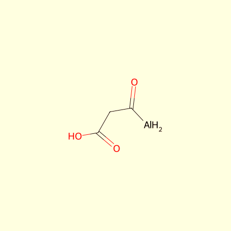 O=C(O)C[C](=O)[AlH2]